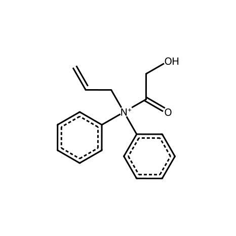 C=CC[N+](C(=O)CO)(c1ccccc1)c1ccccc1